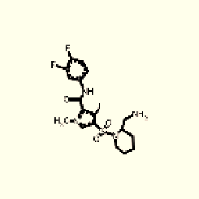 Cn1cc(S(=O)(=O)N2CCCCC2CN)c(F)c1C(=O)Nc1ccc(F)c(F)c1